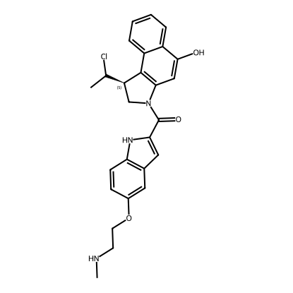 CNCCOc1ccc2[nH]c(C(=O)N3C[C@@H](C(C)Cl)c4c3cc(O)c3ccccc43)cc2c1